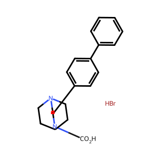 Br.O=C(O)N1CC(c2ccc(-c3ccccc3)cc2)N2CCC1CC2